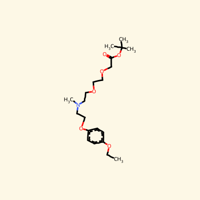 CCOc1ccc(OCCN(C)CCOCCOCC(=O)OC(C)(C)C)cc1